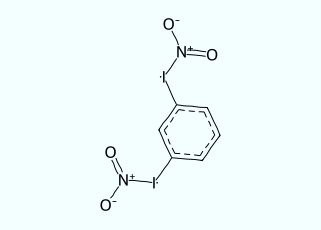 O=[N+]([O-])[I]c1cccc([I][N+](=O)[O-])c1